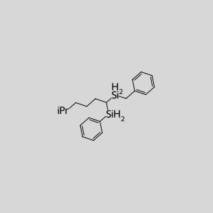 CC(C)CCCC([SiH2]Cc1ccccc1)[SiH2]c1ccccc1